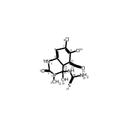 CN1C(=O)NC2=CC(Cl)=C(Cl)C(=C=O)C2C1(O)NC(N)=S